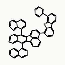 c1ccc(-c2cccc3c2sc2c(-c4ccc5c6c(cccc46)-c4c-5c(-c5cccc6ccccc56)c5ccccc5c4-c4cccc5ccccc45)cccc23)cc1